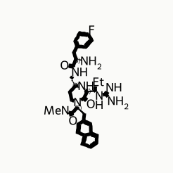 CCC(NC(=N)N)[C@@H]1N[C@@H](CNC(=O)[C@@H](N)Cc2ccc(F)cc2)CCN([C@@H](Cc2ccc3ccccc3c2)C(=O)NC)C1=O